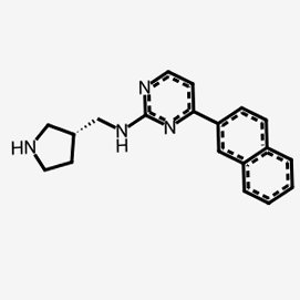 c1ccc2cc(-c3ccnc(NC[C@@H]4CCNC4)n3)ccc2c1